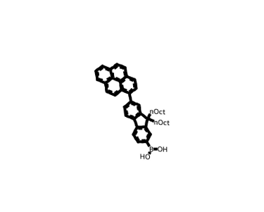 CCCCCCCCC1(CCCCCCCC)c2cc(B(O)O)ccc2-c2ccc(-c3ccc4ccc5cccc6ccc3c4c56)cc21